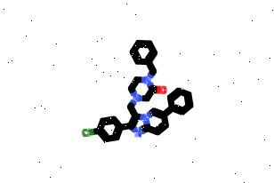 O=C1CN(Cc2c(-c3ccc(Cl)cc3)nc3ccc(-c4ccccc4)cn23)CCN1Cc1ccccc1